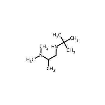 CC(CNC(C)(C)C)N(C)C